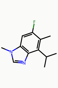 Cc1c(F)cc2c(ncn2C)c1C(C)C